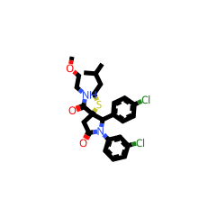 COCCNC(=O)C1(SCCC(C)C)CC(=O)N(c2cccc(Cl)c2)C1c1ccc(Cl)cc1